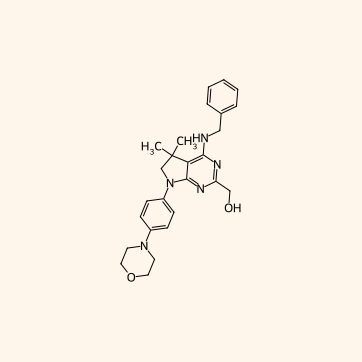 CC1(C)CN(c2ccc(N3CCOCC3)cc2)c2nc(CO)nc(NCc3ccccc3)c21